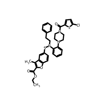 CCOC(=O)c1oc2ccc(SN(CCc3ccccc3)c3ccccc3N3CCN(C(=O)c4ccc(Cl)s4)CC3)cc2c1C